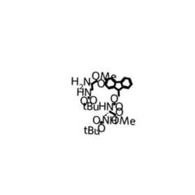 COC(=O)[C@@H](N)CNC(=O)OC(C)(C)C.COC(=O)[C@H](CNC(=O)OC(C)(C)C)NC(=O)OCC1c2ccccc2-c2ccccc21